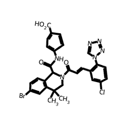 CC1(C)CN(C(=O)C=Cc2cc(Cl)ccc2-n2cnnn2)C(C(=O)Nc2ccc(C(=O)O)cc2)c2ccc(Br)cc21